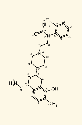 Cc1ccc2c(c1O)C[C@@H](C1CCN(CCN(C(N)=O)c3ccccc3F)CC1)O[C@H]2CN